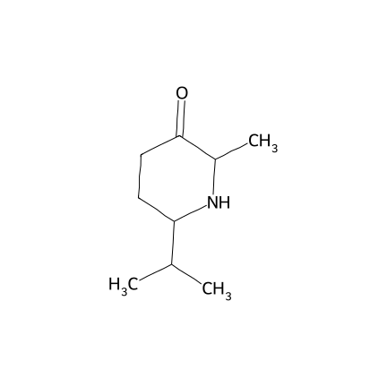 CC1NC(C(C)C)CCC1=O